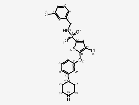 O=S(=O)(NCc1cccc(Cl)c1)c1cc(Cl)c(Oc2cccc(N3CCNCC3)c2)s1